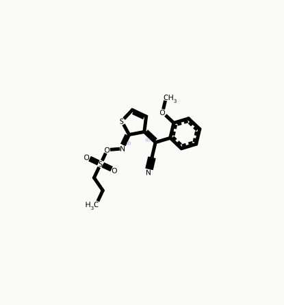 CCCS(=O)(=O)O/N=C1\SC=C\C1=C(\C#N)c1ccccc1OC